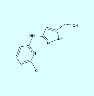 OCc1cc(Nc2ccnc(Cl)n2)n[nH]1